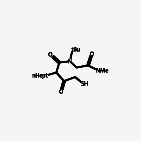 CCCCCCCC(C(=O)CS)C(=O)N(CC(=O)NC)C(C)(C)C